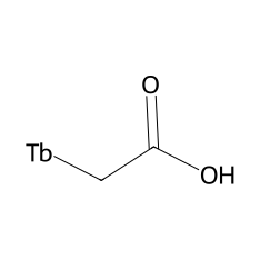 O=C(O)[CH2][Tb]